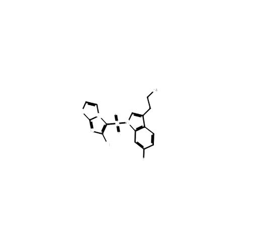 NCCc1cn(S(=O)(=O)c2c(Cl)nc3sccn23)c2cc(F)ccc12